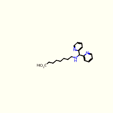 O=C(O)CCCCCCCNC(c1ccccn1)c1ccccn1